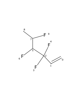 C=CC(F)(F)C(F)C(C)F